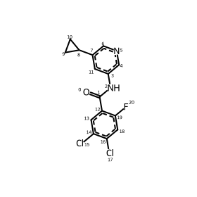 O=C(Nc1cncc(C2CC2)c1)c1cc(Cl)c(Cl)cc1F